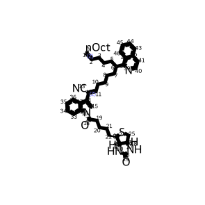 CCCCCCCC/C=C\CCCC(CCCC/C=C(\C#N)c1cn(C(=O)CCCC[C@H]2SC[C@H]3NC(=O)N[C@H]32)c2ccccc12)c1nccc2ccccc12